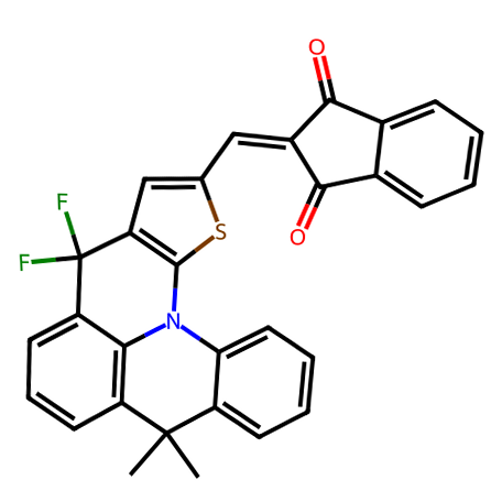 CC1(C)c2ccccc2N2c3sc(C=C4C(=O)c5ccccc5C4=O)cc3C(F)(F)c3cccc1c32